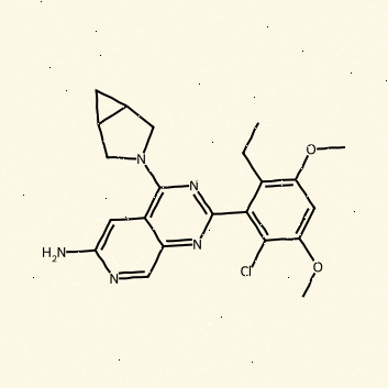 CCc1c(OC)cc(OC)c(Cl)c1-c1nc(N2CC3CC3C2)c2cc(N)ncc2n1